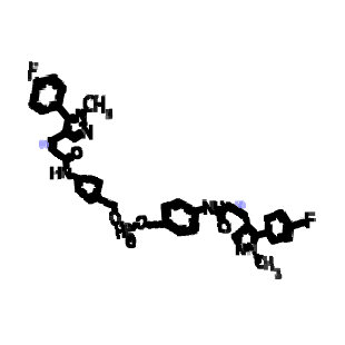 Cn1ncc(/C=C\C(=O)Nc2ccc(CO[PH](=O)OCc3ccc(NC(=O)/C=C\c4cnn(C)c4-c4ccc(F)cc4)cc3)cc2)c1-c1ccc(F)cc1